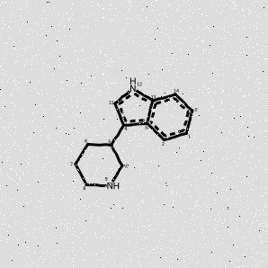 c1ccc2c(C3CCCNC3)c[nH]c2c1